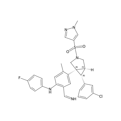 Cc1cc(Nc2ccc(F)cc2)c(C=N)cc1[C@]12CN(S(=O)(=O)c3cnn(C)c3)C[C@H]1[C@@H]2c1cccc(Cl)c1